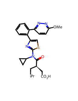 COc1ccc(-c2ccccc2-c2csc(N(C(=O)[C@@H](CC(=O)O)CC(C)C)C3CC3)n2)nn1